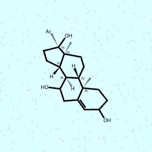 CC(=O)[C@@]1(O)CC[C@H]2[C@@H]3C(O)CC4=CC(O)CC[C@]4(C)[C@H]3CC[C@@]21C